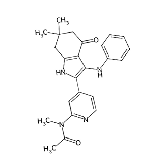 CC(=O)N(C)c1cc(-c2[nH]c3c(c2Nc2ccccc2)C(=O)CC(C)(C)C3)ccn1